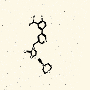 O=C1O[C@@H](C#CN2CCOCC2)CN1Cc1cncc(-c2ccc(F)c(C(F)F)c2)c1